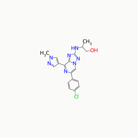 CC(CO)Nc1nc2c(-c3cnn(C)c3)nc(-c3ccc(Cl)cc3)cn2n1